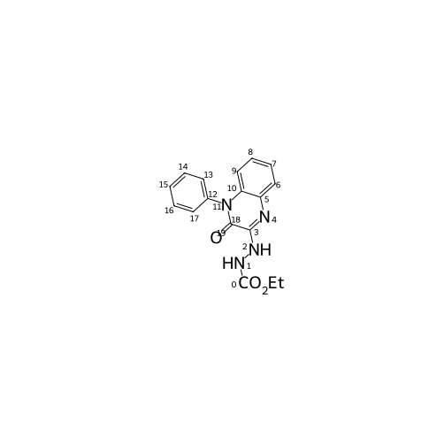 CCOC(=O)NNc1nc2ccccc2n(-c2ccccc2)c1=O